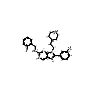 Fc1ccccc1CNc1ncc2nc(-c3cccc(Cl)c3)n(CCC3CCNCC3)c2n1